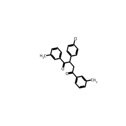 Cc1cccc(C(=O)CC(C(=O)c2cccc(C)c2)c2ccc(Cl)cc2)c1